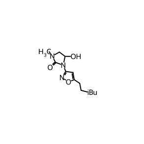 CCC(C)CCc1cc(N2C(=O)N(C)CC2O)no1